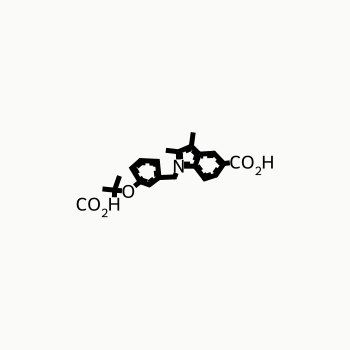 Cc1c(C)n(Cc2cccc(OC(C)(C)C(=O)O)c2)c2ccc(C(=O)O)cc12